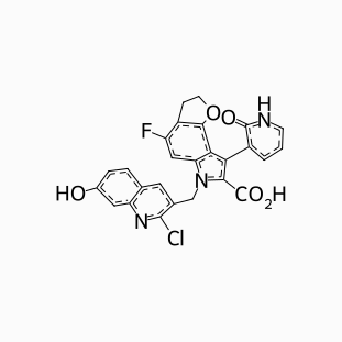 O=C(O)c1c(-c2ccc[nH]c2=O)c2c3c(c(F)cc2n1Cc1cc2ccc(O)cc2nc1Cl)CCO3